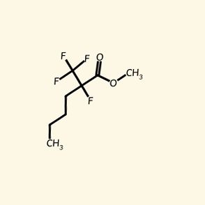 CCCCC(F)(C(=O)OC)C(F)(F)F